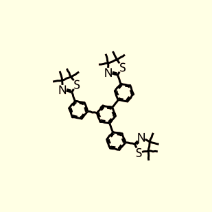 CC1(C)N=C(c2cccc(-c3cc(-c4cccc(C5=NC(C)(C)C(C)(C)S5)c4)cc(-c4cccc(C5=NC(C)(C)C(C)(C)S5)c4)c3)c2)SC1(C)C